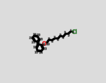 ClCCCCCCCCCCOc1ccccc1-c1ccccc1